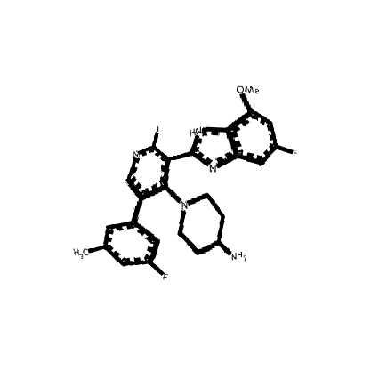 COc1cc(F)cc2nc(-c3c(I)ncc(-c4cc(C)cc(F)c4)c3N3CCC(N)CC3)[nH]c12